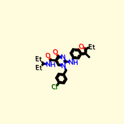 CCc1oc2ccc(Nc3nc(=O)c(C(=O)NC(CC)CC)cn3Cc3ccc(Cl)cc3)cc2c1C